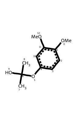 COc1ccc(OC(C)(C)O)cc1OC